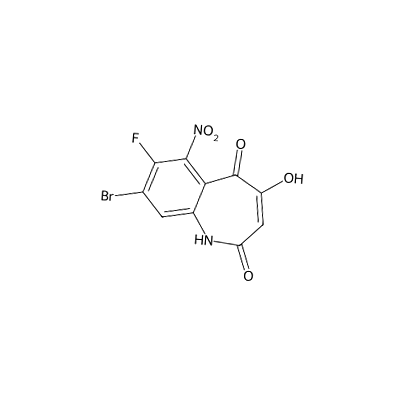 O=c1cc(O)c(=O)c2c([N+](=O)[O-])c(F)c(Br)cc2[nH]1